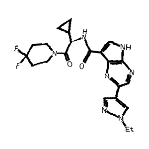 CCn1cc(-c2cnc3[nH]cc(C(=O)N[C@@H](C(=O)N4CCC(F)(F)CC4)C4CC4)c3n2)cn1